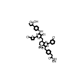 CCc1c(CC2CCS(=O)(=O)c3c(Cc4ccc(CC(=O)NC#N)cc4)nc(-c4cccc(Cl)c4)nc32)nc(-c2ccc(Cl)s2)nc1Nc1ccc(C2=CCOB2O)cc1